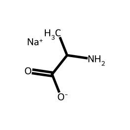 CC(N)C(=O)[O-].[Na+]